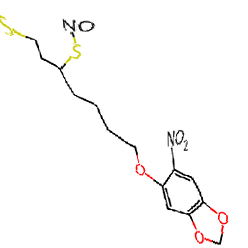 O=NSCCC(CCCCOc1cc2c(cc1[N+](=O)[O-])OCO2)SN=O